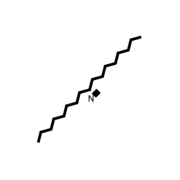 C#N.CCCCCCCCCCCCCCCCC